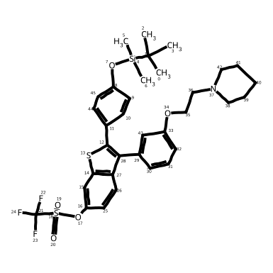 CC(C)(C)[Si](C)(C)Oc1ccc(-c2sc3cc(OS(=O)(=O)C(F)(F)F)ccc3c2-c2[c]ccc(OCCN3CCCCC3)c2)cc1